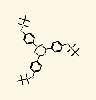 CC(C)(C)[Si](C)(C)Oc1ccc(B2OB(c3ccc(O[Si](C)(C)C(C)(C)C)cc3)OB(c3ccc(O[Si](C)(C)C(C)(C)C)cc3)O2)cc1